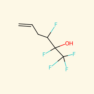 C=CCC(F)C(O)(F)C(F)(F)F